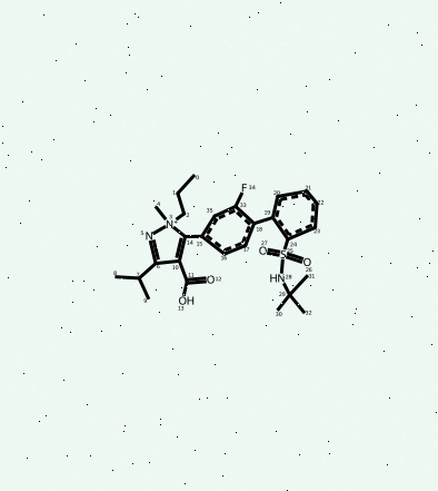 CCC[N+]1(C)N=C(C(C)C)C(C(=O)O)=C1c1ccc(-c2ccccc2S(=O)(=O)NC(C)(C)C)c(F)c1